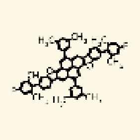 Cc1cc(C)cc(-c2cc3c4oc5cc(-c6c(C)cc(F)cc6C)ccc5c4cc4c(-c5cc(C)cc(C)c5)cc5c6oc7cc(-c8c(C)cc(F)cc8C)ccc7c6cc2c5c43)c1